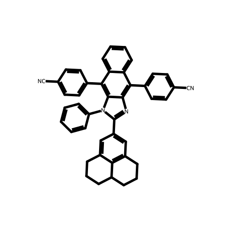 N#Cc1ccc(-c2c3ccccc3c(-c3ccc(C#N)cc3)c3c2nc(-c2cc4c5c(c2)CCCC5CCC4)n3-c2ccccc2)cc1